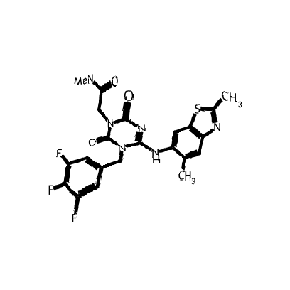 CNC(=O)Cn1c(=O)nc(Nc2cc3sc(C)nc3cc2C)n(Cc2cc(F)c(F)c(F)c2)c1=O